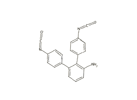 Nc1cccc(-c2ccc(N=C=O)cc2)c1-c1ccc(N=C=O)cc1